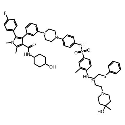 Cc1cc(S(=O)(=O)Nc2ccc(N3CCN(c4cccc(-c5c(C(=O)NC6CCC(O)CC6)c(C)n(C)c5-c5ccc(F)cc5)c4)CC3)cc2)ccc1N[C@H](CCN1CCC(C)(O)CC1)CSc1ccccc1